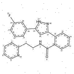 O=C(NCCc1ccccn1)c1ccccc1-c1cc(-c2cccc(F)c2)[nH]n1